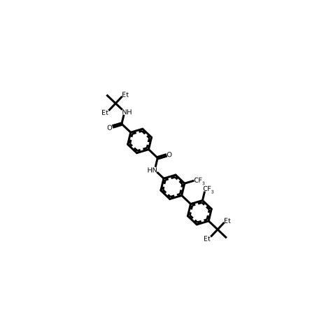 CCC(C)(CC)NC(=O)c1ccc(C(=O)Nc2ccc(-c3ccc(C(C)(CC)CC)cc3C(F)(F)F)c(C(F)(F)F)c2)cc1